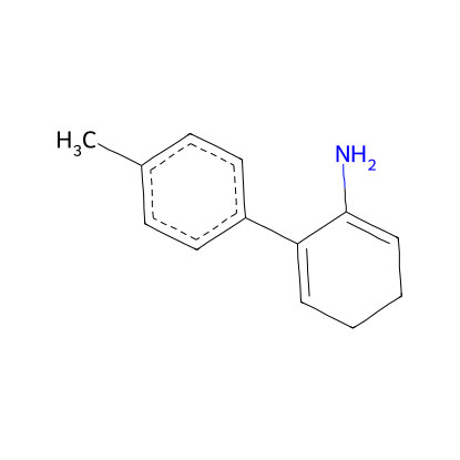 Cc1ccc(C2=CCCC=C2N)cc1